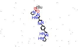 CC(C)(C)OC(=O)N1CCC[C@H]1c1ncc(-c2cnc(-c3ccc(-c4cnc(C5CCCN5)[nH]4)cc3)nc2)[nH]1